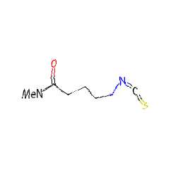 CNC(=O)CCCN=C=S